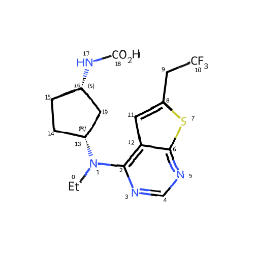 CCN(c1ncnc2sc(CC(F)(F)F)cc12)[C@@H]1CC[C@H](NC(=O)O)C1